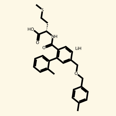 CSCC[C@H](NC(=O)c1ccc(COCc2ccc(C)cc2)cc1-c1ccccc1C)C(=O)O.[LiH]